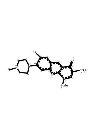 CNn1cc(C(=O)O)c(=O)c2cc3cc(F)c(N4CCN(C)CC4)cc3nc21